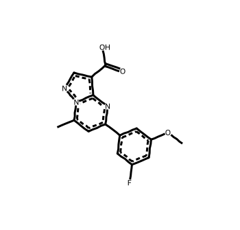 COc1cc(F)cc(-c2cc(C)n3ncc(C(=O)O)c3n2)c1